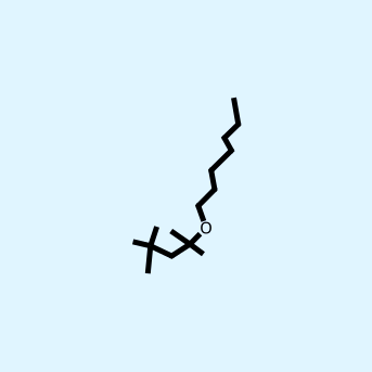 CCCCCCCOC(C)(C)CC(C)(C)C